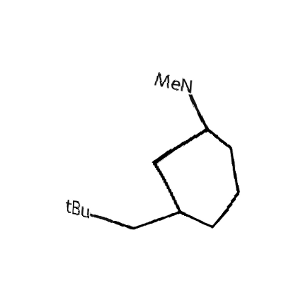 CNC1CCCC(CC(C)(C)C)C1